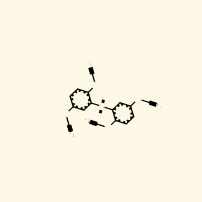 N#COc1ccc(OC#N)c(S(=O)(=O)c2cc(OC#N)ccc2OC#N)c1